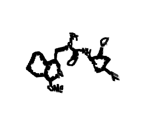 COc1ncc(CN(C(=O)Nc2ccc(F)cc2Cl)C(C)C)c2ccccc12